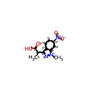 CC(C(=O)O)c1nn(C)c2cc([N+](=O)[O-])ccc12